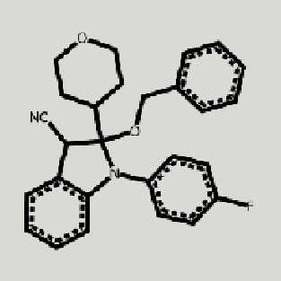 N#CC1c2ccccc2N(c2ccc(F)cc2)C1(OCc1ccccc1)C1CCOCC1